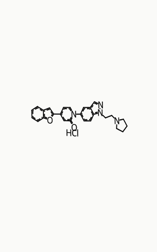 Cl.O=c1cc(-c2cc3ccccc3o2)ccn1-c1ccc2c(cnn2CCN2CCCC2)c1